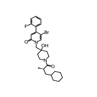 C[C@H](CC1CCCCC1)C(=O)N1CCC(O)(Cn2cc(Br)c(-c3ccccc3F)cc2=O)CC1